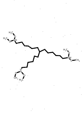 CO[SiH](CCCCCCC(CCCCCC[SiH](OC)OC)CCCCCC[SiH](OC)OC)OC